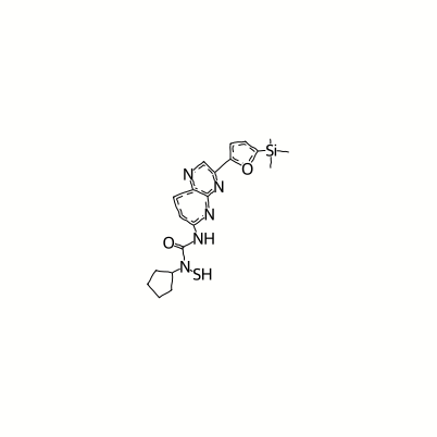 C[Si](C)(C)c1ccc(-c2cnc3ccc(NC(=O)N(S)C4CCCC4)nc3n2)o1